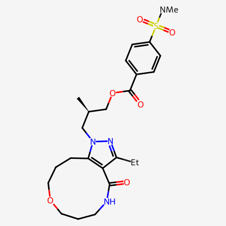 CCc1nn(C[C@@H](C)COC(=O)c2ccc(S(=O)(=O)NC)cc2)c2c1C(=O)NCCCOCCC2